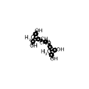 CC(C)(c1ccc(Oc2ccc(C(C)(c3ccc(O)cc3)c3ccc(O)cc3)cc2)cc1)c1ccc(C(C)(c2ccc(O)cc2)c2ccc(O)cc2)cc1